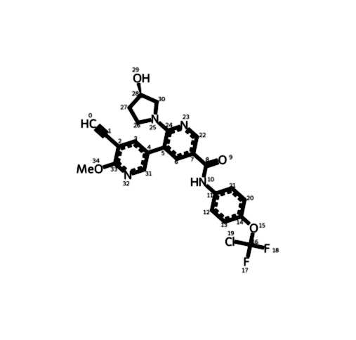 C#Cc1cc(-c2cc(C(=O)Nc3ccc(OC(F)(F)Cl)cc3)cnc2N2CC[C@@H](O)C2)cnc1OC